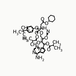 CC(C)C(=O)O[C@H]([C@@H](COP(=O)(NCC(=O)OC1CCCCC1)Oc1ccc(C(C)(C)C)cc1)OC#N)[C@@H](OC(=O)C(C)C)c1ccc2c(N)ncnn12